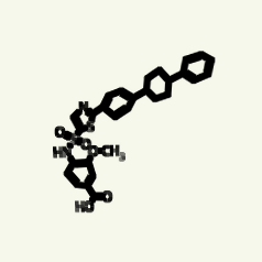 COc1cc(C(=O)O)ccc1NS(=O)(=O)c1cnc(-c2ccc(C3CCC(c4ccccc4)CC3)cc2)s1